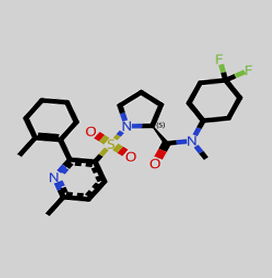 CC1=C(c2nc(C)ccc2S(=O)(=O)N2CCC[C@H]2C(=O)N(C)C2CCC(F)(F)CC2)CCCC1